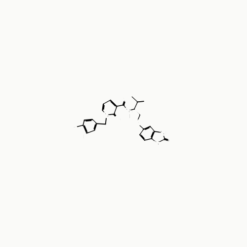 CC(C)[C@@H](COc1ccc2[nH]c(=O)[nH]c2c1)NC(=O)c1cccn(Cc2ccc(F)c(F)c2)c1=O